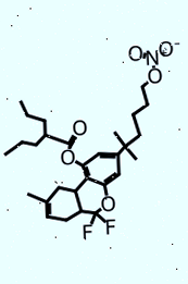 CCCC(CCC)C(=O)Oc1cc(C(C)(C)CCCCO[N+](=O)[O-])cc2c1C1CC(C)=CCC1C(F)(F)O2